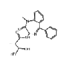 CCCC(O)C(C)C(=O)NC1N=C(c2ccccc2)c2ccccc2N(C)C1=O